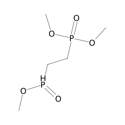 CO[PH](=O)CCP(=O)(OC)OC